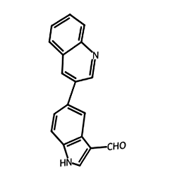 O=Cc1c[nH]c2ccc(-c3cnc4ccccc4c3)cc12